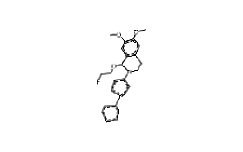 COc1cc2c(cc1OC)C(OCCF)N(c1ccc(-c3ccccc3)cc1)CC2